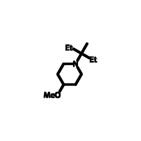 CCC(C)(CC)N1CCC(OC)CC1